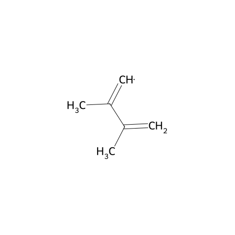 [CH]=C(C)C(=C)C